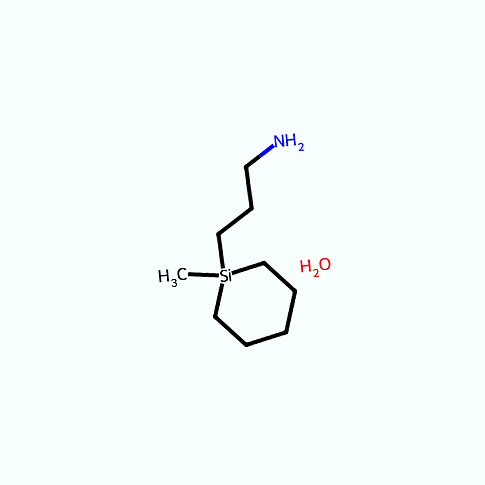 C[Si]1(CCCN)CCCCC1.O